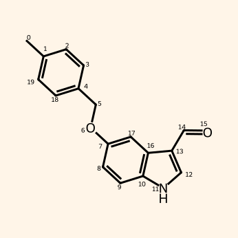 Cc1ccc(COc2ccc3[nH]cc(C=O)c3c2)cc1